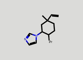 C=CC1(C)CCC(C(C)C)C(n2ccnc2)C1